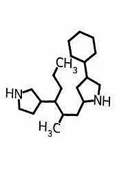 CCCC(C(C)CC1CC(C2CCCCC2)CN1)C1CCNC1